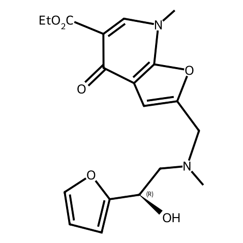 CCOC(=O)c1cn(C)c2oc(CN(C)C[C@@H](O)c3ccco3)cc2c1=O